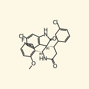 COc1ccc(F)cc1[C@H]1NC(=O)CC(C2C=CC=C(Cl)C2)[C@]12C(=O)Nc1cc(Cl)ccc12